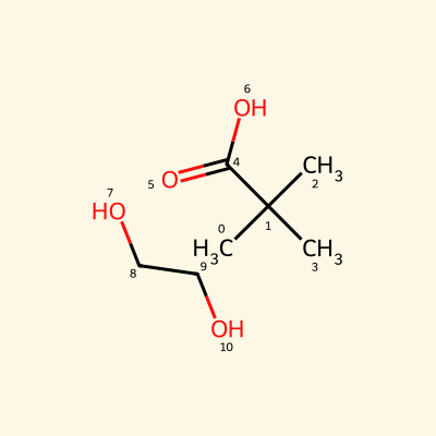 CC(C)(C)C(=O)O.OCCO